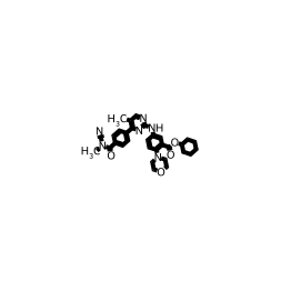 Cc1cnc(Nc2ccc(N3CCOCC3)c(C(=O)OC3CCCCC3)c2)nc1-c1ccc(C(=O)N(C)C#N)cc1